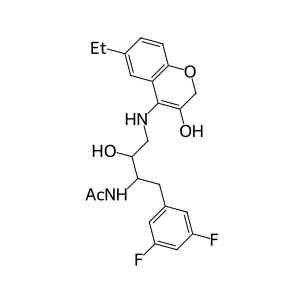 CCc1ccc2c(c1)C(NCC(O)C(Cc1cc(F)cc(F)c1)NC(C)=O)=C(O)CO2